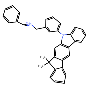 CC1(C)c2ccccc2-c2cc3c4ccccc4n(-c4cccc(C/N=C/c5ccccc5)c4)c3cc21